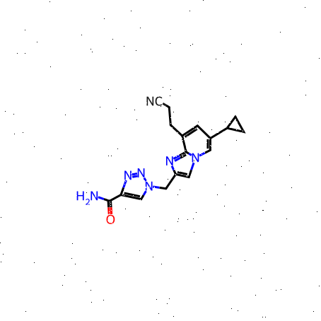 N#CCCc1cc(C2CC2)cn2cc(Cn3cc(C(N)=O)nn3)nc12